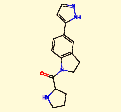 O=C(C1CCCN1)N1CCc2cc(-c3ccn[nH]3)ccc21